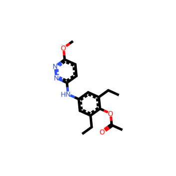 CCc1cc(Nc2ccc(OC)nn2)cc(CC)c1OC(C)=O